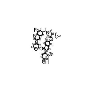 COC[C@@H]1CN(Cc2cc(F)c3ncc(N4CCOCC4)cc3c2)C[C@H]1Oc1ccc2c(c1)CN([C@H]1CCC(=O)NC1=O)C2=O